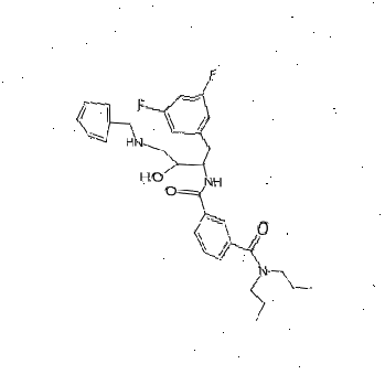 CCCN(CCC)C(=O)c1cccc(C(=O)NC(Cc2cc(F)cc(F)c2)C(O)CNCc2ccccc2)c1